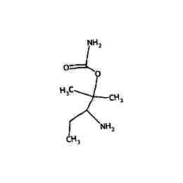 CCC(N)C(C)(C)OC(N)=O